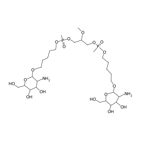 COC(COP(C)(=O)OCCCCCOC1OC(CO)C(O)C(O)C1N)COP(C)(=O)OCCCCCOC1OC(CO)C(O)C(O)C1N